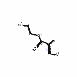 C/C(=C\Cl)C(=O)OCCO